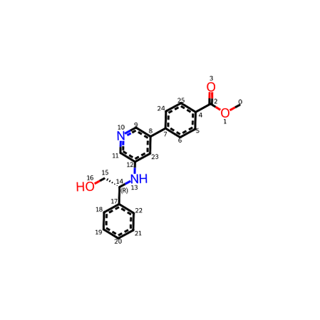 COC(=O)c1ccc(-c2cncc(N[C@@H](CO)c3ccccc3)c2)cc1